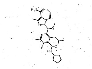 C=C(N)c1c(C)nc(C(SC)c2cc(Cl)c(F)c(C(=O)NC3CCCC3)c2CC(C)C)n1/C=C\C